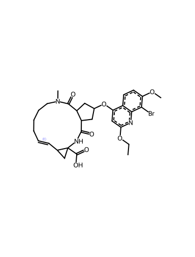 CCOc1cc(OC2CC3C(=O)NC4(C(=O)O)CC4/C=C/CCCCN(C)C(=O)C3C2)c2ccc(OC)c(Br)c2n1